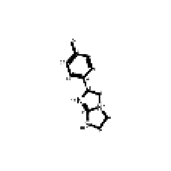 Cc1ccc([C@H]2CN3CCSC3=N2)cc1